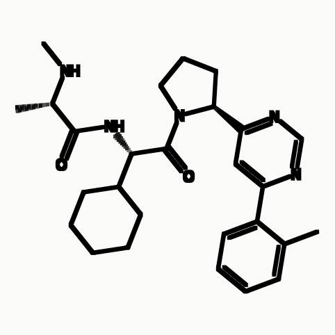 CN[C@@H](C)C(=O)N[C@H](C(=O)N1CCC[C@H]1c1cc(-c2ccccc2C)ncn1)C1CCCCC1